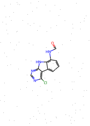 O=CNc1cccc2c1[nH]c1ncnc(Cl)c12